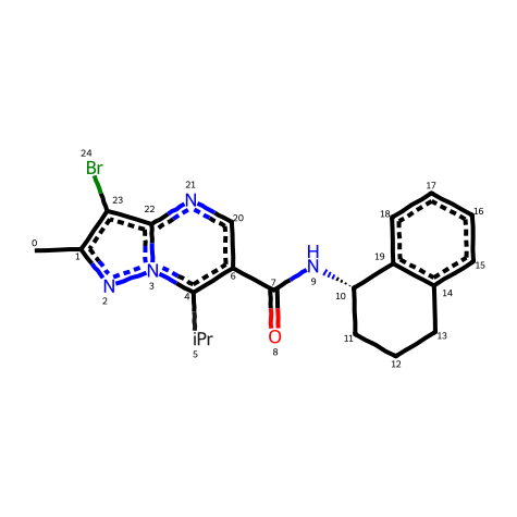 Cc1nn2c(C(C)C)c(C(=O)N[C@H]3CCCc4ccccc43)cnc2c1Br